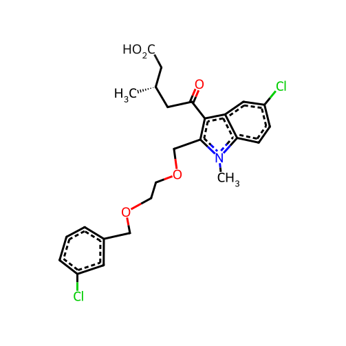 C[C@H](CC(=O)O)CC(=O)c1c(COCCOCc2cccc(Cl)c2)n(C)c2ccc(Cl)cc12